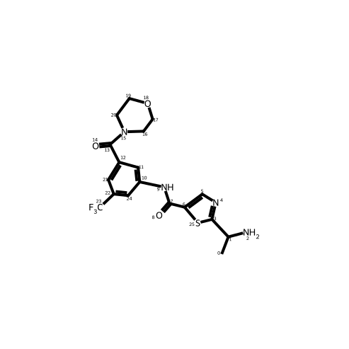 CC(N)c1ncc(C(=O)Nc2cc(C(=O)N3CCOCC3)cc(C(F)(F)F)c2)s1